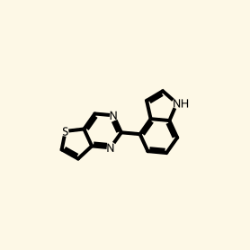 c1cc(-c2ncc3sccc3n2)c2cc[nH]c2c1